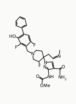 C/N=C\CC1(n2cc(C(N)=O)c(NC(=O)OC)n2)CCN(Cc2c(F)cc(-c3ccccc3)c(O)c2F)CC1F